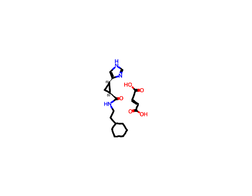 O=C(NCCC1CCCCC1)[C@H]1C[C@@H]1c1c[nH]cn1.O=C(O)C=CC(=O)O